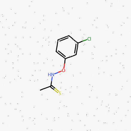 CC(=S)NOc1cccc(Cl)c1